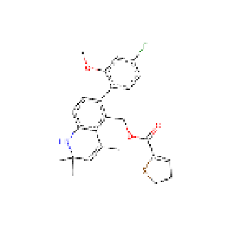 COc1cc(F)ccc1-c1ccc2c(c1COC(=O)C1=CCCS1)C(C)=CC(C)(C)N2